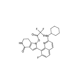 O=C1NCCc2c1cc(-c1c(F)ccc3ccc(NC4CCCCC4)nc13)n2OC(=O)C(F)(F)F